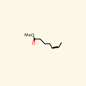 C/C=C\CCCC(=O)OC